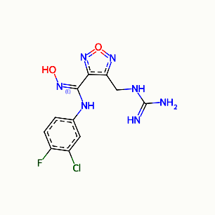 N=C(N)NCc1nonc1/C(=N\O)Nc1ccc(F)c(Cl)c1